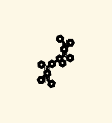 c1ccc(N(c2ccc(-c3ccc(N(c4ccccc4)c4ccc5c(c4)c4ccccc4n5-c4ccccc4)c4ccccc34)cc2)c2ccc3c(c2)c2ccccc2n3-c2ccccc2)cc1